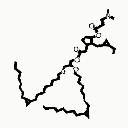 CCCCCCCCC1CC1CCCCCCCCOCC(COC(=O)CC1CCC(OC(=O)CCN(C)C)C1CC1CC1CC)OCCCCCCCCC1CC1CCCCCCCC